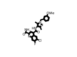 COc1cccc(Cn2nc(C)c(NC(=O)c3cc(C(N)=O)nc4cc(F)c(Cl)cc34)c2C)c1